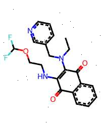 CCN(Cc1cccnc1)C1=C(NCCOC(F)F)C(=O)c2ccccc2C1=O